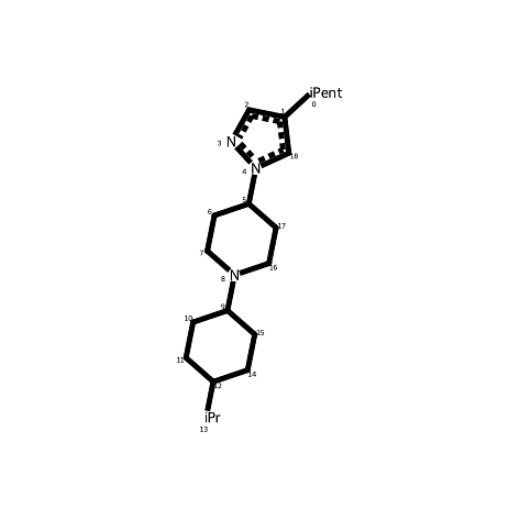 CCCC(C)c1cnn(C2CCN(C3CCC(C(C)C)CC3)CC2)c1